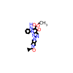 CCOC(=O)c1c(=O)c2cnc(N3CC4CN(C(=O)C5CC5)CC4C3)nc2n2c1[nH]c1ccccc12